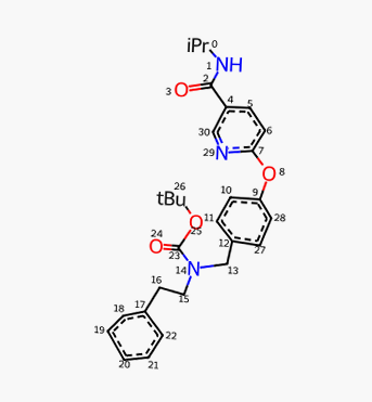 CC(C)NC(=O)c1ccc(Oc2ccc(CN(CCc3ccccc3)C(=O)OC(C)(C)C)cc2)nc1